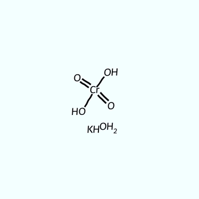 O.[KH].[O]=[Cr](=[O])([OH])[OH]